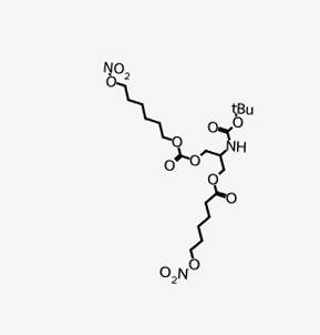 CC(C)(C)OC(=O)NC(COC(=O)CCCCCO[N+](=O)[O-])COC(=O)OCCCCCCO[N+](=O)[O-]